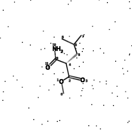 COC(=O)[C@@H](CC(C)C)C(N)=O